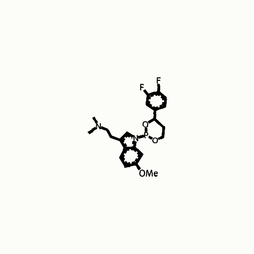 COc1ccc2c(CCN(C)C)cn(P3OCCC(c4ccc(F)c(F)c4)O3)c2c1